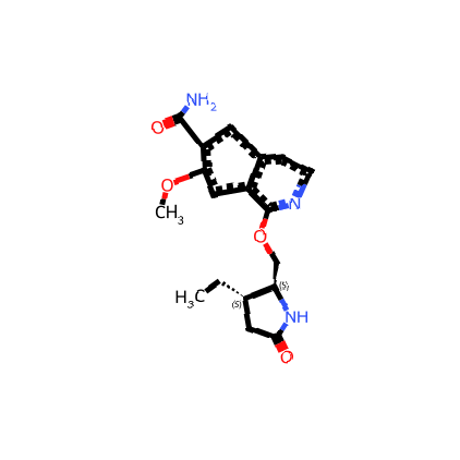 CC[C@H]1CC(=O)N[C@@H]1COc1nccc2cc(C(N)=O)c(OC)cc12